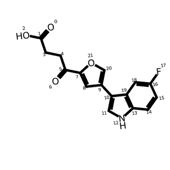 O=C(O)CCC(=O)c1cc(-c2c[nH]c3ccc(F)cc23)co1